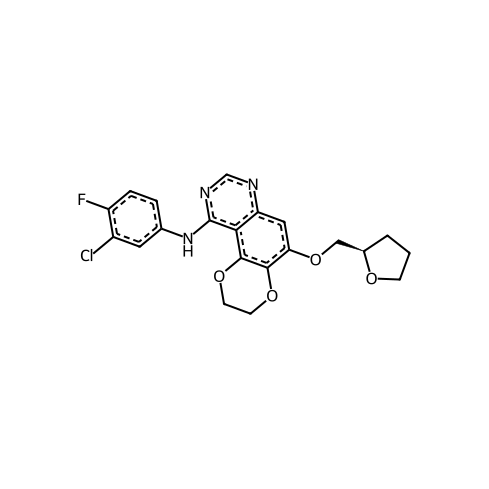 Fc1ccc(Nc2ncnc3cc(OC[C@H]4CCCO4)c4c(c23)OCCO4)cc1Cl